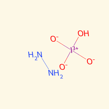 NN.[O-][I+3]([O-])([O-])O